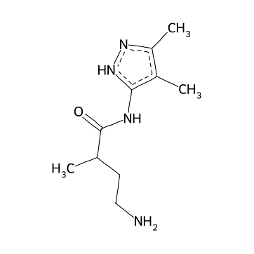 Cc1n[nH]c(NC(=O)C(C)CCN)c1C